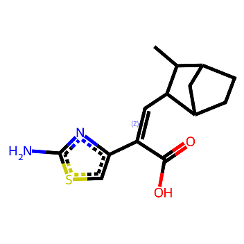 CC1C2CCC(C2)C1/C=C(\C(=O)O)c1csc(N)n1